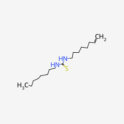 C=CCCCCCCNC(=S)NCCCCCCCC